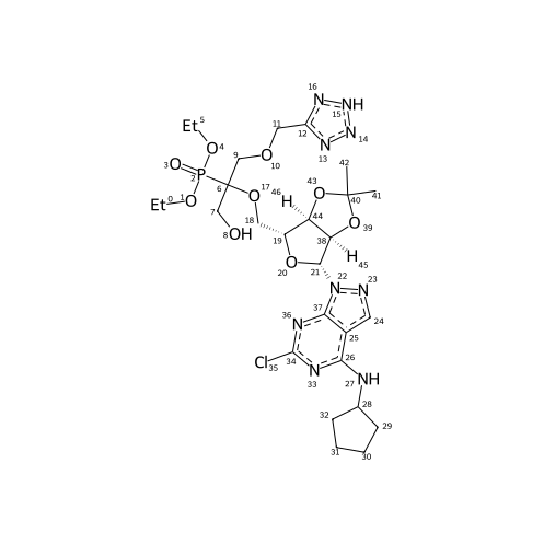 CCOP(=O)(OCC)C(CO)(COCc1nn[nH]n1)OC[C@H]1O[C@@H](n2ncc3c(NC4CCCC4)nc(Cl)nc32)[C@@H]2OC(C)(C)O[C@@H]21